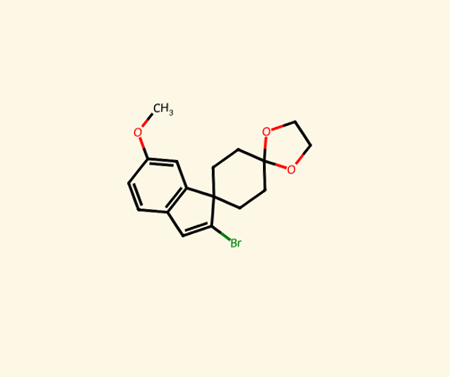 COc1ccc2c(c1)C1(CCC3(CC1)OCCO3)C(Br)=C2